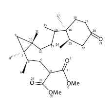 COC(=O)C(C[C@@H](C)[C@@]1(C)C[C@]1(C)CCC(C)[C@@]1(C)CCC(=O)C[C@H]1C)C(=O)OC